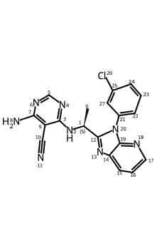 C[C@H](Nc1ncnc(N)c1C#N)c1nc2cccnc2n1-c1cccc(Cl)c1